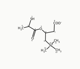 CC(S)C(=O)OC(CC(=O)[O-])C[N+](C)(C)C